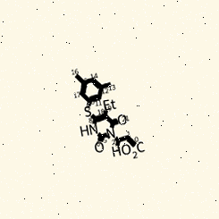 C=CC(C(=O)O)n1c(=O)[nH]c(Sc2cc(C)cc(C)c2)c(CC)c1=O